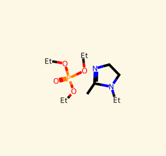 CCN1CCN=C1C.CCOP(=O)(OCC)OCC